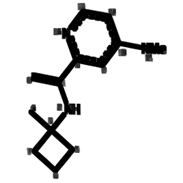 C=C(NC1(C)CCC1)c1cc(NC)ccn1